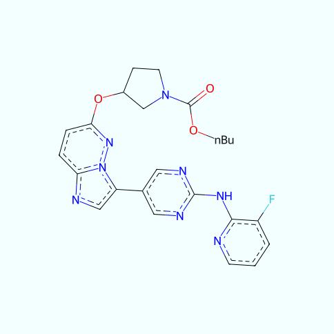 CCCCOC(=O)N1CCC(Oc2ccc3ncc(-c4cnc(Nc5ncccc5F)nc4)n3n2)C1